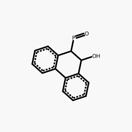 O=PC1c2ccccc2-c2ccccc2C1O